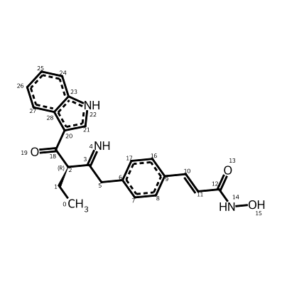 CC[C@H](C(=N)Cc1ccc(C=CC(=O)NO)cc1)C(=O)c1c[nH]c2ccccc12